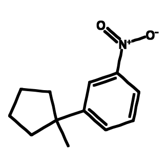 CC1(c2cccc([N+](=O)[O-])c2)CCCC1